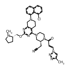 Cc1cn(/C=C/C(=O)N2CCN(c3nc(OC[C@@H]4CCCN4C)nc4c3CCN(c3cccc5cccc(Cl)c35)C4)C[C@@H]2CC#N)nn1